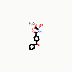 COC(=O)[C@H](CO)NC(=O)c1ccc(C(=O)c2ccccc2)cc1